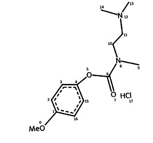 COc1ccc(OC(=O)N(C)CCN(C)C)cc1.Cl